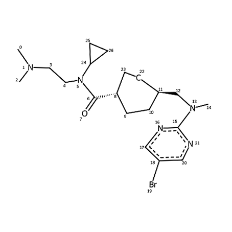 CN(C)CCN(C(=O)[C@H]1CC[C@H](CN(C)c2ncc(Br)cn2)CC1)C1CC1